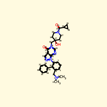 CN(C)Cc1cccc(-n2ncc3c(=O)n(CC4(O)CCN(C(=O)C5CC5)CC4)cnc32)c1-c1ccccc1